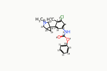 Cc1c(Cl)cc(NC(=O)Oc2ccccc2)cc1C12CC1CN(C)C2